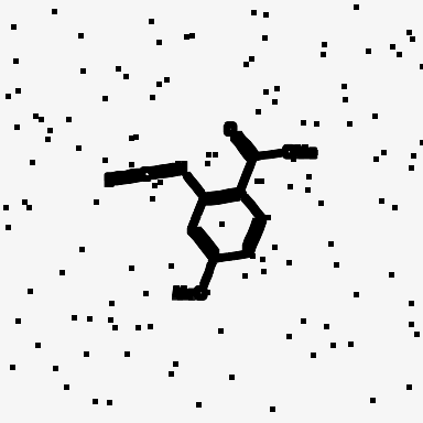 COC(=O)c1ccc(OC)cc1N=C=S